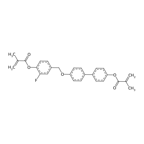 C=C(C)C(=O)Oc1ccc(-c2ccc(OCc3ccc(OC(=O)C(=C)C)c(F)c3)cc2)cc1